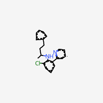 CC(CCc1ccccc1)Nc1c(Cl)cccc1-c1c[c]ccn1